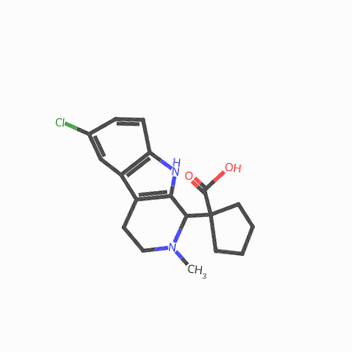 CN1CCc2c([nH]c3ccc(Cl)cc23)C1C1(C(=O)O)CCCC1